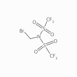 O=S(=O)(N(CBr)S(=O)(=O)C(F)(F)F)C(F)(F)F